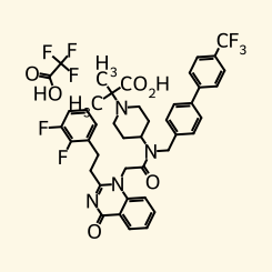 CC(C)(C(=O)O)N1CCC(N(Cc2ccc(-c3ccc(C(F)(F)F)cc3)cc2)C(=O)Cn2c(CCc3cccc(F)c3F)nc(=O)c3ccccc32)CC1.O=C(O)C(F)(F)F